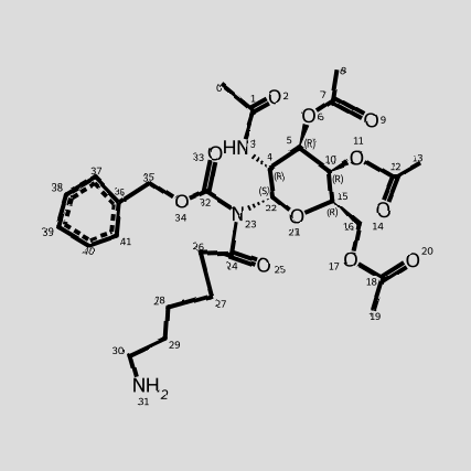 CC(=O)N[C@@H]1[C@@H](OC(C)=O)[C@@H](OC(C)=O)[C@@H](COC(C)=O)O[C@@H]1N(C(=O)CCCCCN)C(=O)OCc1ccccc1